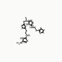 CN(Cc1cc(CCNc2nnc(N)[nH]2)cs1)c1nnc(NCCc2cccs2)[nH]1